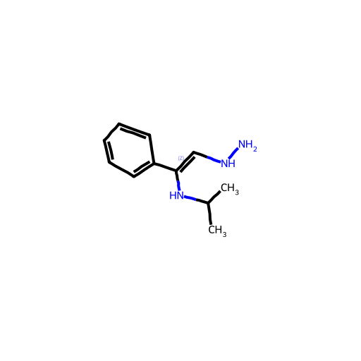 CC(C)N/C(=C\NN)c1ccccc1